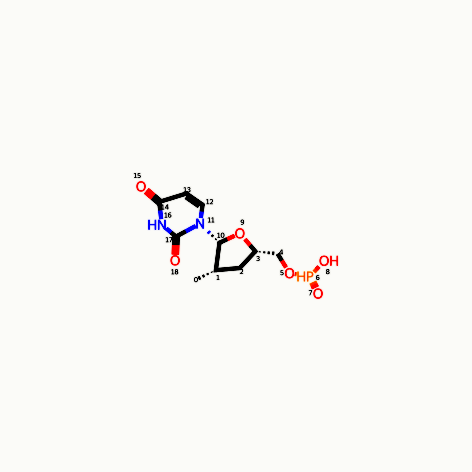 C[C@H]1C[C@@H](CO[PH](=O)O)O[C@H]1n1ccc(=O)[nH]c1=O